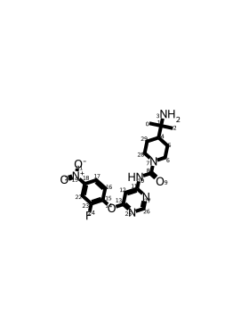 CC(C)(N)C1CCN(C(=O)Nc2cc(Oc3ccc([N+](=O)[O-])cc3F)ncn2)CC1